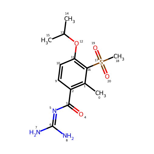 Cc1c(C(=O)N=C(N)N)ccc(OC(C)C)c1S(C)(=O)=O